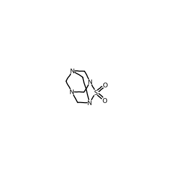 O=S1(=O)N2CN3CN(C2)CN1C3